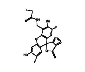 O=C(CI)NCc1c(O)c(F)cc2c1Oc1cc(O)c(F)cc1C21OC(=O)c2ccccc21